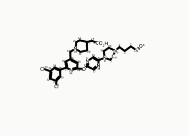 O=[S+]CCCN1CCN(c2cnc(Oc3cc(CN4CCC(CC(=O)O)CC4)cc(-c4cc(Cl)cc(Cl)c4)n3)cn2)CC1